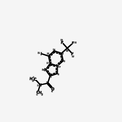 CN(C)C(=O)c1cn2cc(C(F)(F)F)cc(I)c2n1